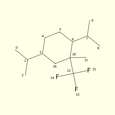 CC(C)C1CCC(C(C)C)C(C)(C(F)(F)F)C1